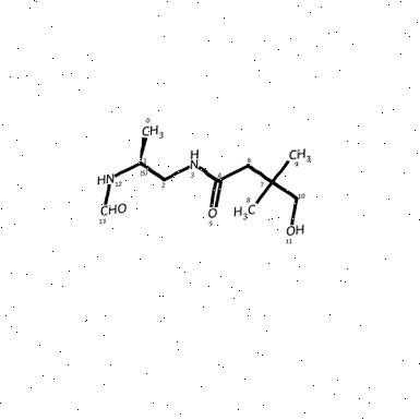 C[C@@H](CNC(=O)CC(C)(C)CO)NC=O